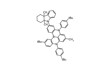 Cc1cc2c3c(c1)N(c1ccc(C(C)(C)C)cc1)c1cc(N4c5ccccc5C5(C)CCCCC45C)ccc1B3c1cc(C(C)(C)C)ccc1N2c1ccc(C(C)(C)C)cc1